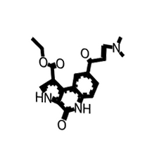 CCOC(=O)c1c[nH]c2c(=O)[nH]c3ccc(C(=O)C=CN(C)C)cc3c12